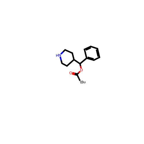 CC(C)(C)C(=O)OC(c1ccccc1)C1CCNCC1